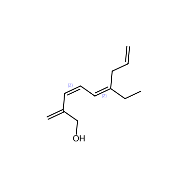 C=CC/C(=C\C=C/C(=C)CO)CC